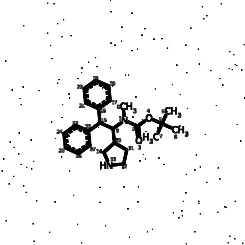 CN(C(=O)OC(C)(C)C)C(C1CCNC1)C(c1ccccc1)c1ccccc1